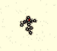 N#Cc1ccccc1-c1ccc2c3ccccc3n(-c3ccc(-c4cccc5c4c4ccccc4n5-c4ccccc4)cc3-c3nc(-c4ccccc4)nc(-c4ccccc4)n3)c2c1